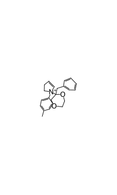 Cc1ccc([N+]2(C3(Cc4ccccc4)COCCO3)C=CCC2)cc1